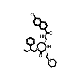 CC[C@H](CN1CC[C@H](CNC(=O)c2ccc3cc(Cl)ccc3c2)N[C@H](CCN2CCCCC2)C1=O)c1ccccc1